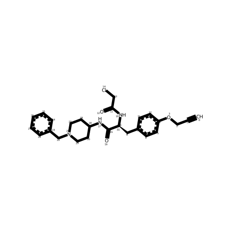 C#CCOc1ccc(C[C@H](NC(=O)CCl)C(=O)NC2CCN(Cc3ccccc3)CC2)cc1